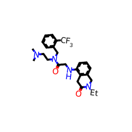 CCN1Cc2cccc(NCC(=O)N(CCN(C)C)Cc3ccccc3C(F)(F)F)c2CC1=O